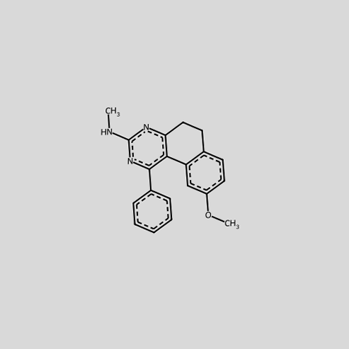 CNc1nc2c(c(-c3ccccc3)n1)-c1cc(OC)ccc1CC2